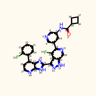 O=C(Nc1cncc(-c2ncc3[nH]nc(-c4nc5c(-c6ccccc6F)ccnc5[nH]4)c3c2F)c1)C1CCC1